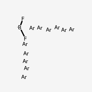 F[B]F.[Ar].[Ar].[Ar].[Ar].[Ar].[Ar].[Ar].[Ar].[Ar].[Ar].[Ar]